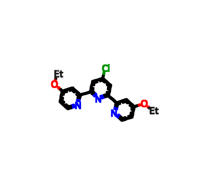 CCOc1ccnc(-c2cc(Cl)cc(-c3cc(OCC)ccn3)n2)c1